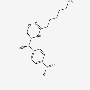 NCCCCCC(=O)N[C@H](CO)[C@H](O)c1ccc([N+](=O)[O-])cc1